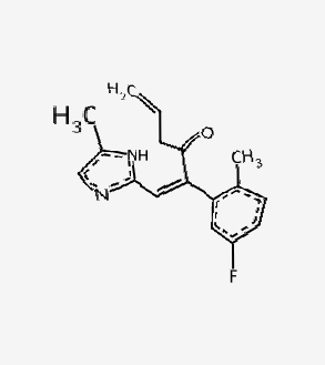 C=CCC(=O)/C(=C\c1ncc(C)[nH]1)c1cc(F)ccc1C